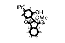 COC1(c2ccc(C(C)C)cc2O)C(=O)c2ccccc2C1=O